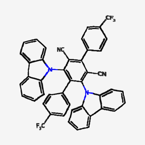 N#Cc1c(-c2ccc(C(F)(F)F)cc2)c(C#N)c(-n2c3ccccc3c3ccccc32)c(-c2ccc(C(F)(F)F)cc2)c1-n1c2ccccc2c2ccccc21